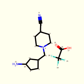 N#CC1CCN(CC2CCC(N)C2)CC1.O=C(O)C(F)(F)F